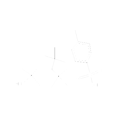 CC(C)(C)CC(C)(C)C.CC(C)(C)P.Cc1ccc(S(=O)(=O)O)cc1